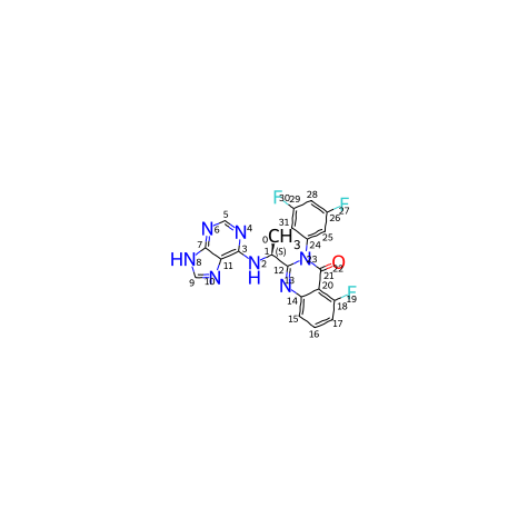 C[C@H](Nc1ncnc2[nH]cnc12)c1nc2cccc(F)c2c(=O)n1-c1cc(F)cc(F)c1